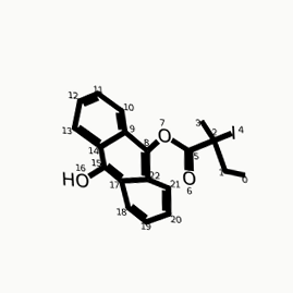 CCC(C)(I)C(=O)Oc1c2ccccc2c(O)c2ccccc12